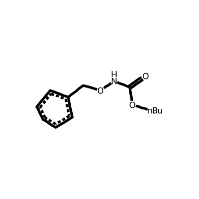 CCCCOC(=O)NOCc1ccccc1